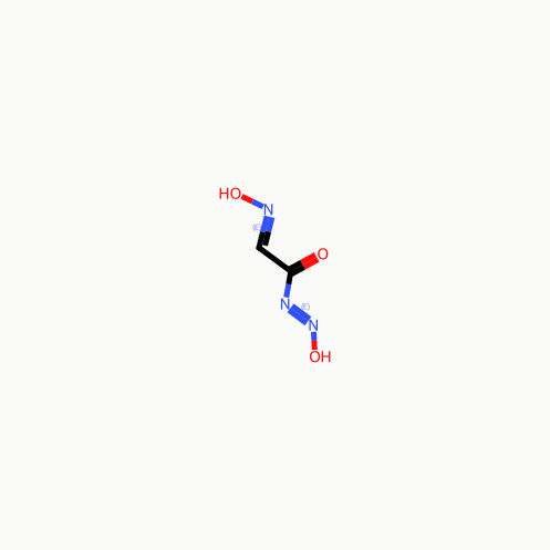 O=C(/C=N/O)/N=N/O